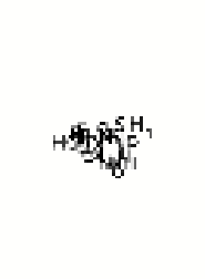 O=C(O)C(F)(F)F.[SiH4].c1ccc2c(c1)-c1nc-2nc2[nH]c(nc3nc(nc4[nH]c(n1)c1ccccc41)-c1ccccc1-3)c1ccccc21